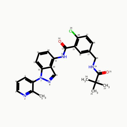 Cc1ncccc1-n1ncc2c(NC(=O)c3cc(CNC(=O)C(C)(C)C)ccc3Cl)cccc21